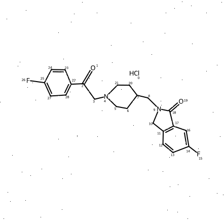 Cl.O=C(CN1CCC(CN2Cc3ccc(F)cc3C2=O)CC1)c1ccc(F)cc1